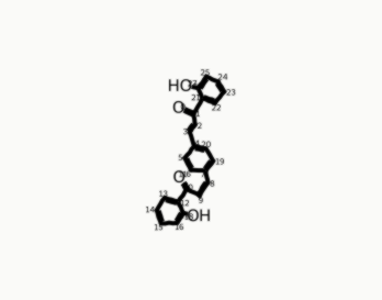 O=C(C=Cc1ccc(/C=C\C(=O)c2ccccc2O)cc1)c1ccccc1O